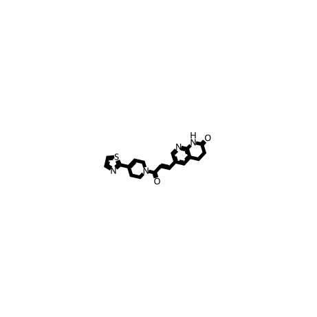 O=C1CCc2cc(C=CC(=O)N3CC=C(c4nccs4)CC3)cnc2N1